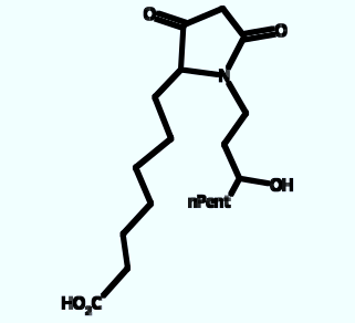 CCCCCC(O)CCN1C(=O)CC(=O)C1CCCCCCC(=O)O